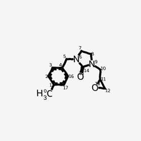 Cc1ccc(CN2CCN(CC3CO3)C2=O)cc1